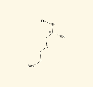 CCN[C@@H](COCCOC)C(C)(C)C